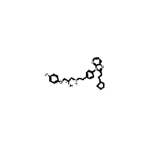 Oc1ccc(OC[C@H](O)CNCCc2ccc(-n3c(CCC4CCCC4)nc4cccnc43)cc2)cc1